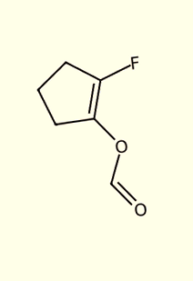 O=COC1=C(F)CCC1